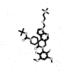 COc1cc(OC)c(F)c(N2Cc3cnc4c(ccn4COCC[Si](C)(C)C)c3C3(CCN(C(=O)OC(C)(C)C)CC3)C2=O)c1F